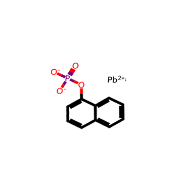 O=P([O-])([O-])Oc1cccc2ccccc12.[Pb+2]